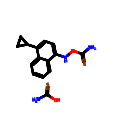 NC(=S)ONc1ccc(C2CC2)c2ccccc12.NC(O)=S